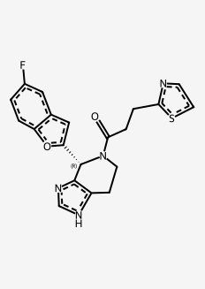 O=C(CCc1nccs1)N1CCc2[nH]cnc2[C@@H]1c1cc2cc(F)ccc2o1